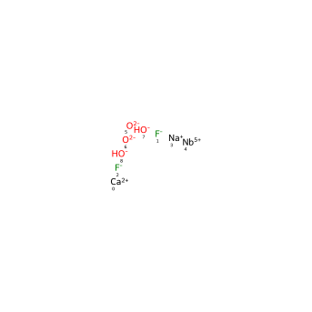 [Ca+2].[F-].[F-].[Na+].[Nb+5].[O-2].[O-2].[OH-].[OH-]